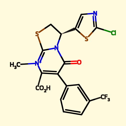 C[n+]1c(C(=O)O)c(-c2cccc(C(F)(F)F)c2)c(=O)n2c1SC[C@@H]2c1cnc(Cl)s1